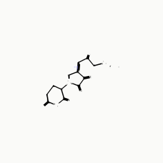 C=C(/C=C1/CN(C2CCC(=O)NC2=O)C(=O)C1=C)CNC=O